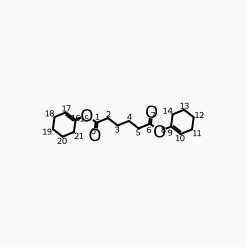 O=C(CCCCC(=O)OC1=CCCCC1)OC1=CCCCC1